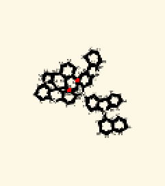 c1ccc2c(c1)Sc1ccc(N(c3ccc4c(c3)oc3ccccc34)c3ccc4c(c3)c3ccccc3n4-c3cccc4ccccc34)cc1C21c2ccccc2-c2cccc3cccc1c23